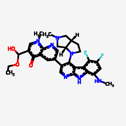 CCOC(O)c1cn(C)c2ncc(-c3cnc4[nH]c5c(NC)cc(F)c(F)c5c4c3N3CC[C@H]4CN(C)C[C@H]43)cc2c1=O